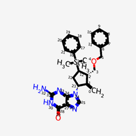 C=C1[C@@H](COCc2ccccc2)C([Si](C)(C)c2ccccc2)C[C@H]1n1cnc2c(=O)[nH]c(N)nc21